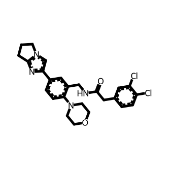 O=C(Cc1ccc(Cl)c(Cl)c1)NCc1cc(-c2cn3c(n2)CCC3)ccc1N1CCOCC1